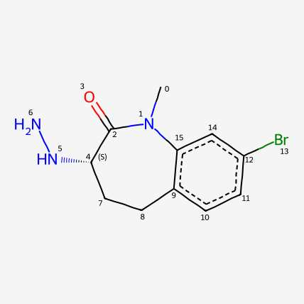 CN1C(=O)[C@@H](NN)CCc2ccc(Br)cc21